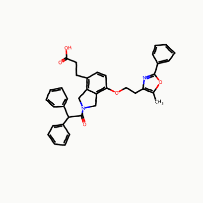 Cc1oc(-c2ccccc2)nc1CCOc1ccc(CCC(=O)O)c2c1CN(C(=O)C(c1ccccc1)c1ccccc1)C2